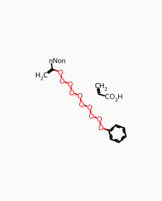 C=C(CCCCCCCCC)OOOOOOOOOOc1ccccc1.C=CC(=O)O